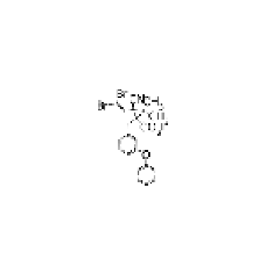 CC1(C)[C@](Cc2cccc(Oc3ccccc3)c2)(C(=O)O)[C@]1(C#N)C=C(Br)Br